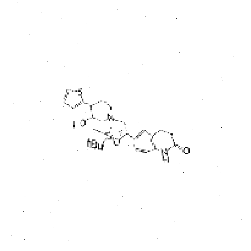 CC(C)(C)[Si](C)(C)O[C@H](CN1CCC(c2cccs2)C(O)C1)c1ccc2c(c1)CCC(=O)N2